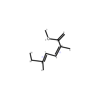 C=C(OC)/C(C)=C\C=C(/C)CC